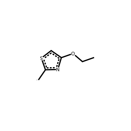 [CH2]c1nc(OCC)cs1